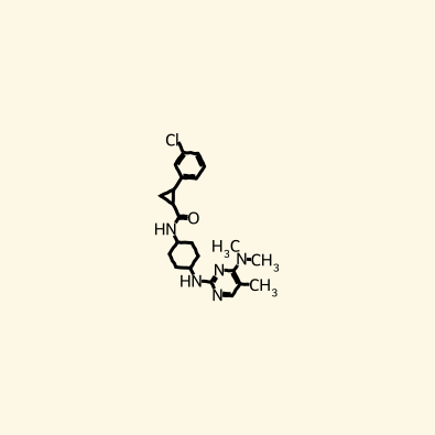 Cc1cnc(NC2CCC(NC(=O)C3CC3c3cccc(Cl)c3)CC2)nc1N(C)C